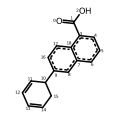 O=C(O)c1cccc2cc(C3C=CC=CC3)ccc12